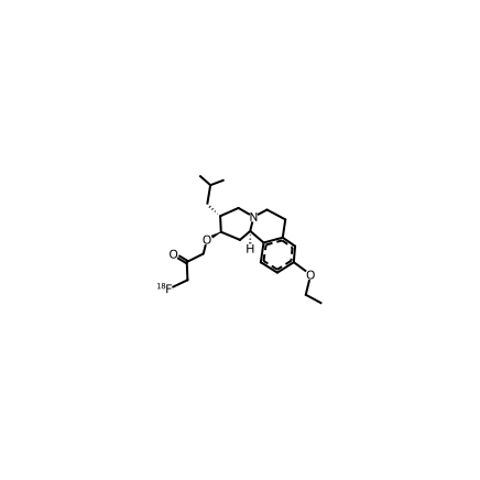 CCOc1ccc2c(c1)CCN1C[C@@H](CC(C)C)[C@H](OCC(=O)C[18F])C[C@H]21